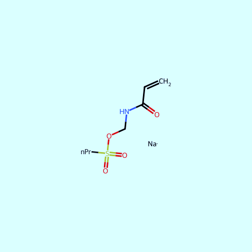 C=CC(=O)NCOS(=O)(=O)CCC.[Na]